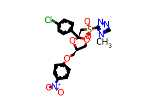 Cn1cnnc1S(=O)(=O)C[C@@]1(c2ccc(Cl)cc2)OC[C@@H](COc2ccc([N+](=O)[O-])cc2)O1